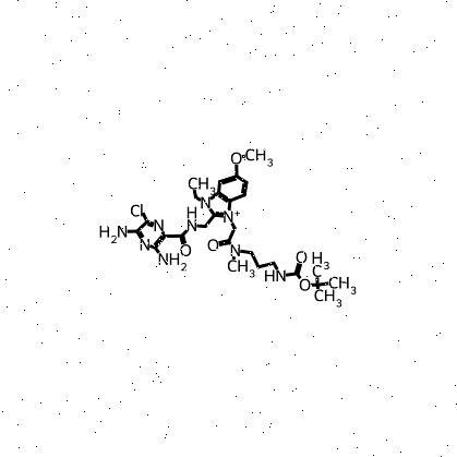 CCn1c(CNC(=O)c2nc(Cl)c(N)nc2N)[n+](CC(=O)N(C)CCCNC(=O)OC(C)(C)C)c2ccc(OC)cc21